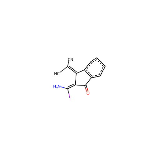 N#CC(C#N)=C1/C(=C(\N)I)C(=O)c2ccccc21